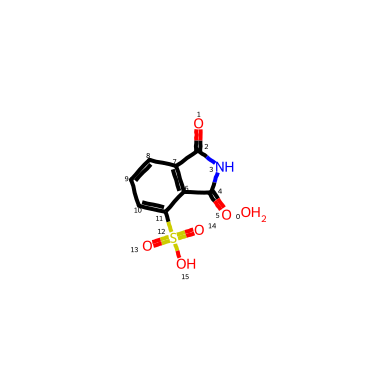 O.O=C1NC(=O)c2c1cccc2S(=O)(=O)O